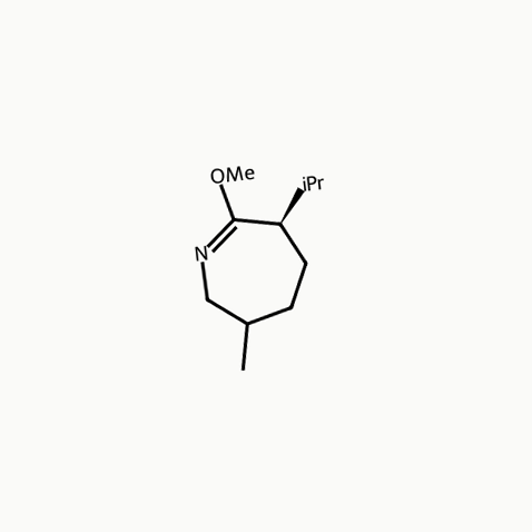 COC1=NCC(C)CC[C@@H]1C(C)C